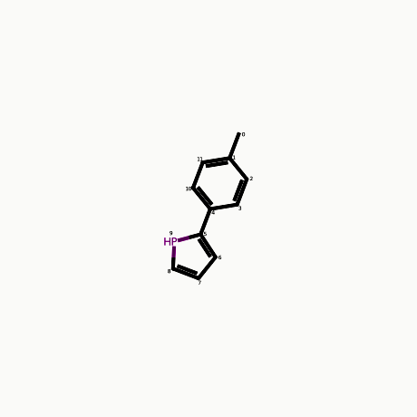 Cc1ccc(-c2ccc[pH]2)cc1